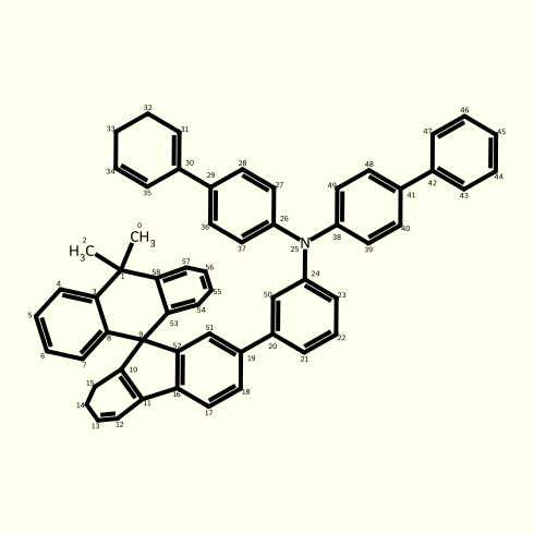 CC1(C)c2ccccc2C2(C3=C(C=CCC3)c3ccc(-c4cccc(N(c5ccc(C6=CCCC=C6)cc5)c5ccc(-c6ccccc6)cc5)c4)cc32)c2ccccc21